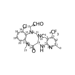 Cc1cc(C(F)(F)F)c(C#N)c(N[C@H]2CCN(CC=O)c3c(Cl)cccc3N(C)C2=O)n1